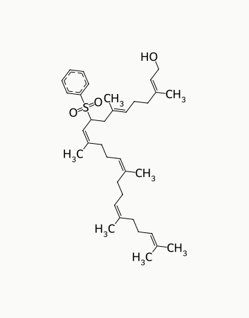 CC(C)=CCCC(C)=CCCC(C)=CCCC(C)=CC(CC(C)=CCCC(C)=CCO)S(=O)(=O)c1ccccc1